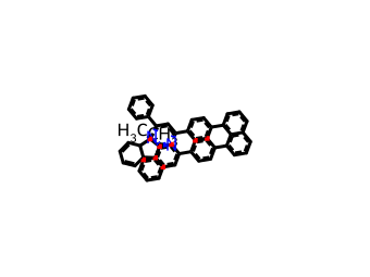 CC1(C)c2cc(-c3ccc(-c4cccc5cccc(-c6ccc(-c7cc(-c8ccccc8)nc(-c8ccccc8)n7)cc6)c45)cc3)ccc2C2C=CC=CC21